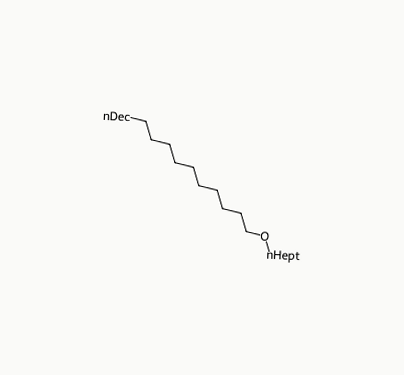 [CH2]CCCCCCCCCCCCCCCCCCCOCCCCCC[CH2]